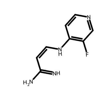 N=C(N)/C=C\Nc1ccncc1F